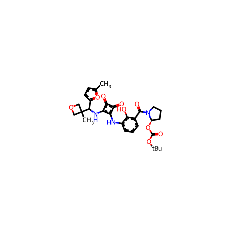 Cc1ccc(C(Nc2c(Nc3cccc(C(=O)N4CCC[C@H]4OC(=O)OC(C)(C)C)c3O)c(=O)c2=O)C2(C)COC2)o1